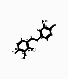 Cc1ccc(CCc2ccc(C)c(F)c2Cl)cc1F